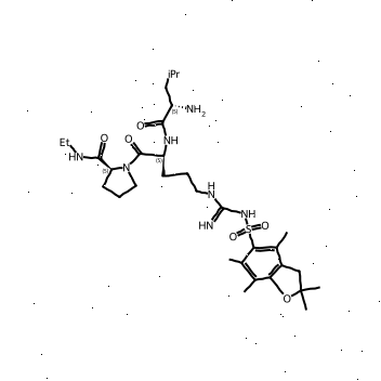 CCNC(=O)[C@@H]1CCCN1C(=O)[C@H](CCCNC(=N)NS(=O)(=O)c1c(C)c(C)c2c(c1C)CC(C)(C)O2)NC(=O)[C@@H](N)CC(C)C